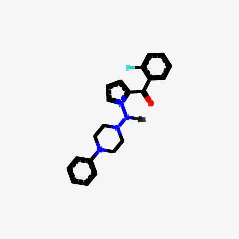 CC(=O)N(N1CCN(c2ccccc2)CC1)n1cccc1C(=O)c1ccccc1F